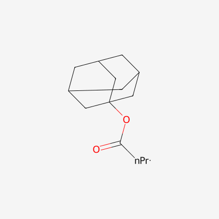 CC[CH]C(=O)OC12CC3CC(CC(C3)C1)C2